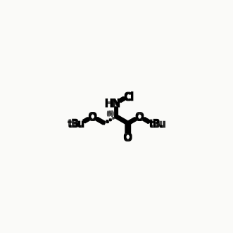 CC(C)(C)OC[C@H](NCl)C(=O)OC(C)(C)C